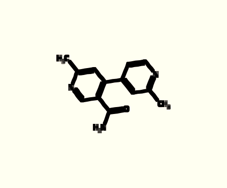 Cc1cc(-c2cc(C)ncc2C(N)=O)ccn1